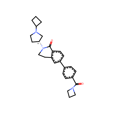 O=C(c1ccc(-c2ccc3c(c2)CCN([C@@H]2CCN(C4CCC4)C2)C3=O)cc1)N1CCC1